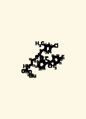 Cc1cc(Cl)cnc1CN(CCCCNC(=O)OC(C)(C)C)Cc1ncccc1C(C)(C)c1ccc(F)cc1